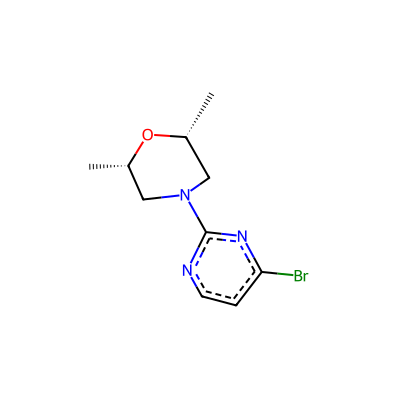 C[C@@H]1CN(c2nccc(Br)n2)C[C@H](C)O1